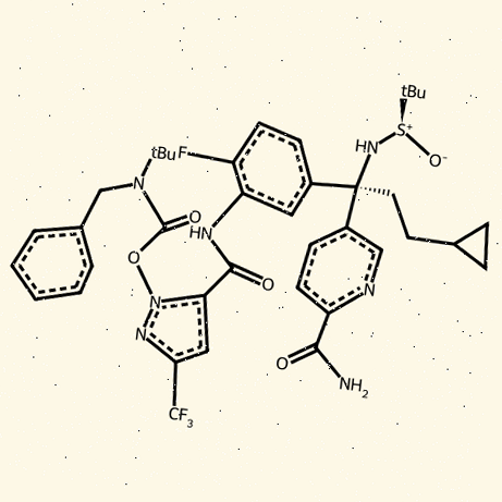 CC(C)(C)N(Cc1ccccc1)C(=O)On1nc(C(F)(F)F)cc1C(=O)Nc1cc([C@@](CCC2CC2)(N[S@+]([O-])C(C)(C)C)c2ccc(C(N)=O)nc2)ccc1F